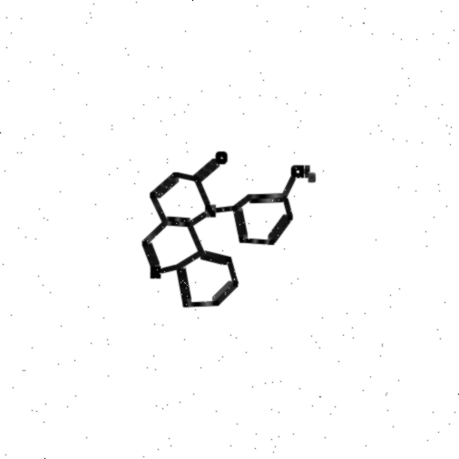 Cc1cccc(-n2c(=O)ccc3cnc4ccccc4c32)c1